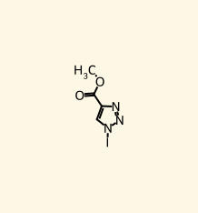 COC(=O)c1cn(I)nn1